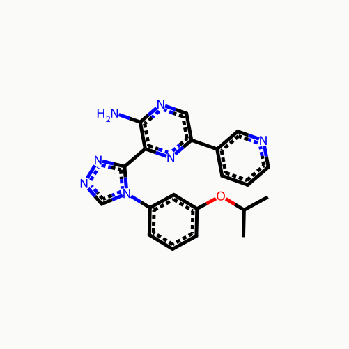 CC(C)Oc1cccc(-n2cnnc2-c2nc(-c3cccnc3)cnc2N)c1